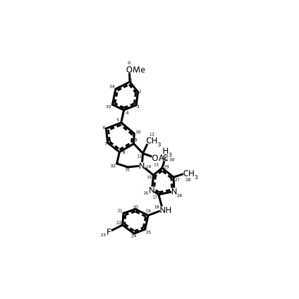 COc1ccc(-c2ccc3c(c2)C(C)(OC(C)=O)N(c2nc(Nc4ccc(F)cc4)nc(C)c2C)CC3)cc1